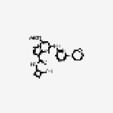 CNc1cc(Nc2cccc([C@H]3CCCOC3)n2)nc2c(C(=O)N[C@@H]3CC[C@@H]3O)cnn12